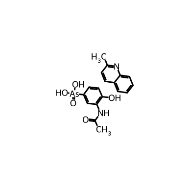 CC(=O)Nc1cc([As](=O)(O)O)ccc1O.Cc1ccc2ccccc2n1